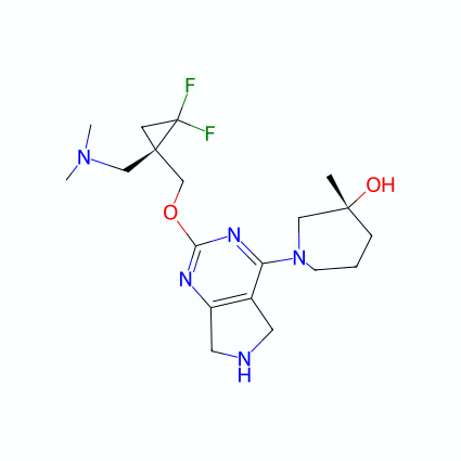 CN(C)C[C@@]1(COc2nc3c(c(N4CCC[C@@](C)(O)C4)n2)CNC3)CC1(F)F